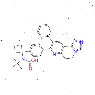 CC(C)(C)N(C(=O)O)C1(c2ccc(-c3nc4c(cc3-c3ccccc3)-c3nncn3CC4)cc2)CCC1